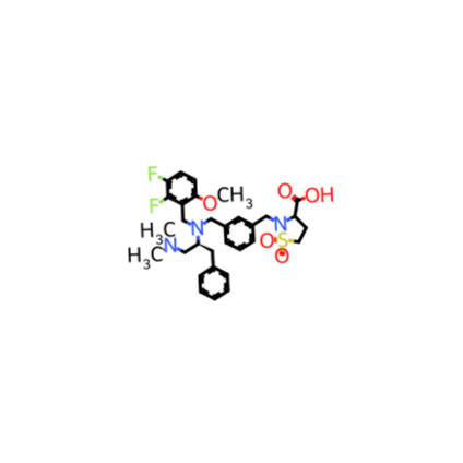 COc1ccc(F)c(F)c1CN(Cc1cccc(CN2C(C(=O)O)CCS2(=O)=O)c1)[C@@H](Cc1ccccc1)CN(C)C